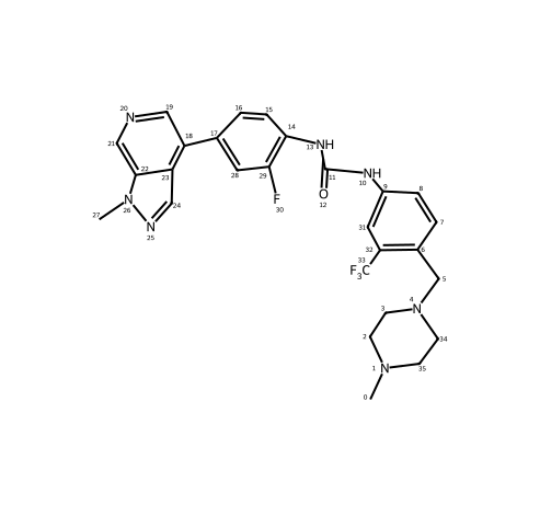 CN1CCN(Cc2ccc(NC(=O)Nc3ccc(-c4cncc5c4cnn5C)cc3F)cc2C(F)(F)F)CC1